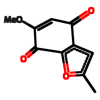 COC1=CC(=O)c2cc(C)oc2C1=O